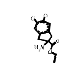 CCOC(=O)C1(N)Cc2cc(Cl)c(Cl)cc2C1